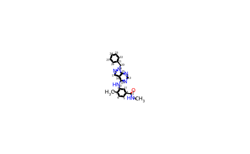 CNC(=O)c1ccc(C)c(Nc2ncnc3c2cnn3Cc2ccccc2)c1